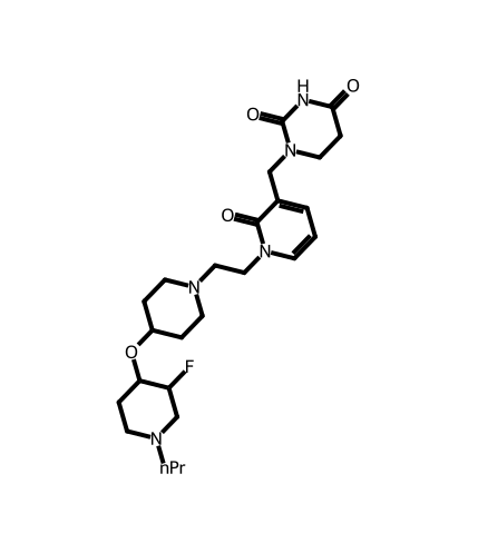 CCCN1CCC(OC2CCN(CCn3cccc(CN4CCC(=O)NC4=O)c3=O)CC2)C(F)C1